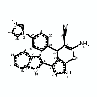 N#CC1=C(N)Oc2[nH]nc(-c3cc4ccccc4o3)c2C1c1ccc(-n2ccnc2)cc1